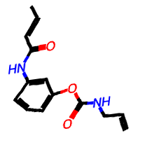 C=CCNC(=O)Oc1cccc(NC(=O)C=CC)c1